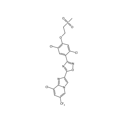 CS(=O)(=O)CCOc1cc(Cl)c(-c2noc(-c3cn4cc(C(F)(F)F)cc(Cl)c4n3)n2)cc1Cl